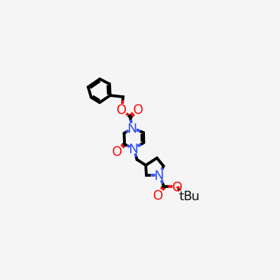 CC(C)(C)OC(=O)N1CCC(CN2C=CN(C(=O)OCc3ccccc3)CC2=O)C1